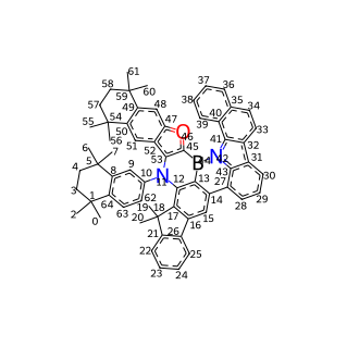 CC1(C)CCC(C)(C)c2cc(N3c4c5c(cc6c4C(C)(C)c4ccccc4-6)-c4cccc6c7ccc8ccccc8c7n(c46)B5c4oc5cc6c(cc5c43)C(C)(C)CCC6(C)C)ccc21